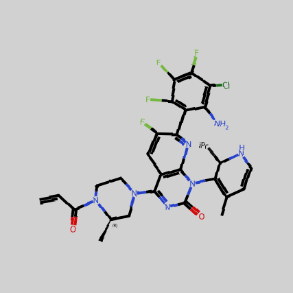 C=CC(=O)N1CCN(c2nc(=O)n(C3=C(C)C=CNC3C(C)C)c3nc(-c4c(N)c(Cl)c(F)c(F)c4F)c(F)cc23)C[C@H]1C